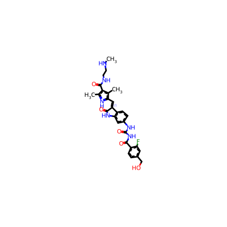 CNCCNC(=O)c1c(C)[nH]c(/C=C2\C(=O)Nc3cc(NC(=O)NC(=O)c4ccc(CO)cc4F)ccc32)c1C